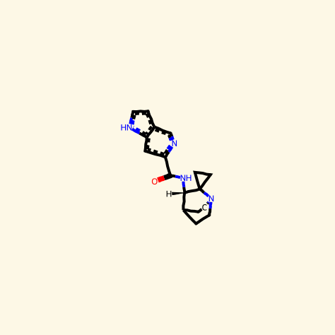 O=C(N[C@H]1C2CCN(CC2)C12CC2)c1cc2[nH]ccc2cn1